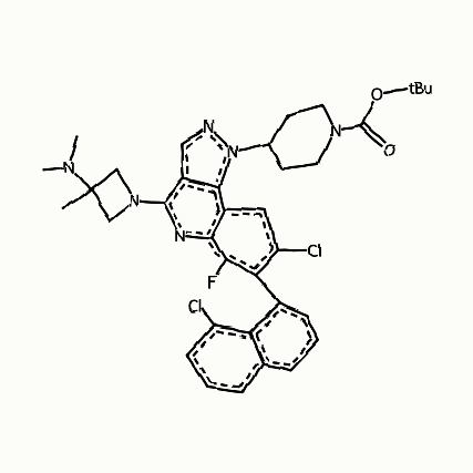 CN(C)C1(C)CN(c2nc3c(F)c(-c4cccc5cccc(Cl)c45)c(Cl)cc3c3c2cnn3C2CCN(C(=O)OC(C)(C)C)CC2)C1